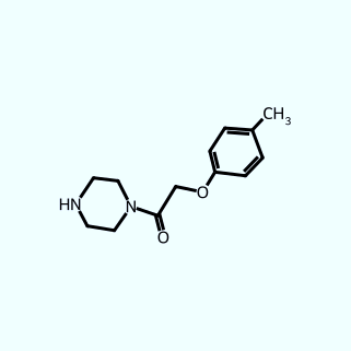 Cc1ccc(OCC(=O)N2CCNCC2)cc1